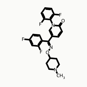 CN1CCC(ON=C(c2ccc(=O)n(-c3c(F)cccc3F)c2)c2ccc(F)cc2F)CC1